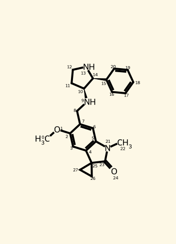 COc1cc2c(cc1CN[C@H]1CCN[C@H]1c1ccccc1)N(C)C(=O)C21CC1